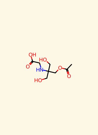 CC(=O)OCC(CO)(CO)NCC(=O)O